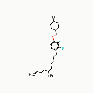 C=CCCC(CCC)CCCCCc1ccc(OCC2CCC(CC)CC2)c(F)c1F